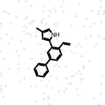 C=Cc1ccc(-c2ccccc2)cc1-c1cc(C)c[nH]1